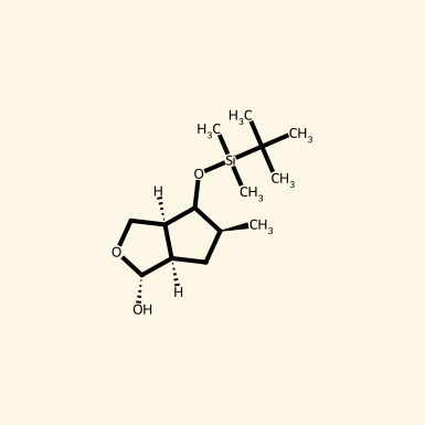 C[C@H]1C[C@H]2[C@H](O)OC[C@H]2C1O[Si](C)(C)C(C)(C)C